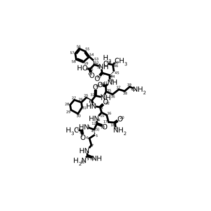 CC(=O)N[C@@H](CCCNC(=N)N)C(=O)NC(CCC(N)=O)C(=O)N[C@@H](CC1CCCCC1)C(=O)NC(CCCCN)C(=O)N[C@@H](CC(C)C)C(=O)N[C@@H](Cc1ccccc1)C(=O)O